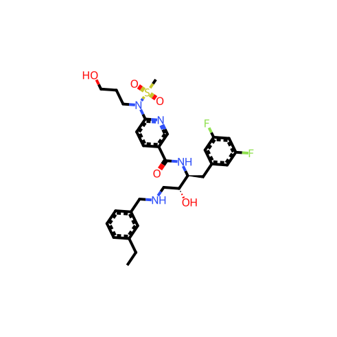 CCc1cccc(CNC[C@@H](O)[C@H](Cc2cc(F)cc(F)c2)NC(=O)c2ccc(N(CCCO)S(C)(=O)=O)nc2)c1